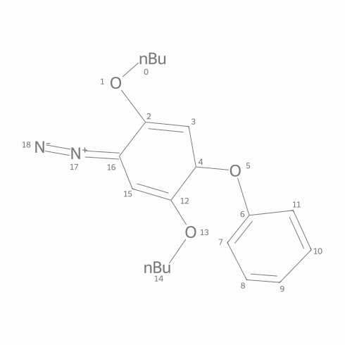 CCCCOC1=CC(Oc2ccccc2)C(OCCCC)=CC1=[N+]=[N-]